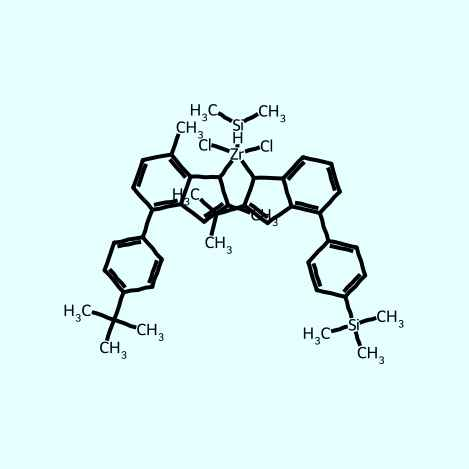 CC1=Cc2c(-c3ccc(C(C)(C)C)cc3)ccc(C)c2[CH]1[Zr]([Cl])([Cl])([CH]1C(C(C)C)=Cc2c(-c3ccc([Si](C)(C)C)cc3)cccc21)[SiH](C)C